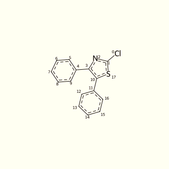 Clc1nc(-c2ccccc2)c(-c2ccccc2)s1